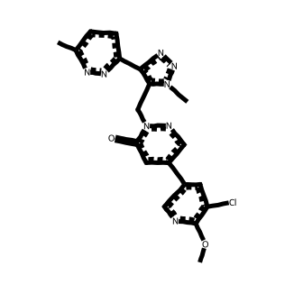 COc1ncc(-c2cnn(Cc3c(-c4ccc(C)nn4)nnn3C)c(=O)c2)cc1Cl